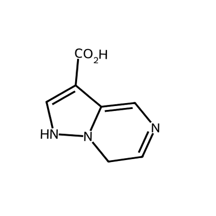 O=C(O)C1=CNN2CC=NC=C12